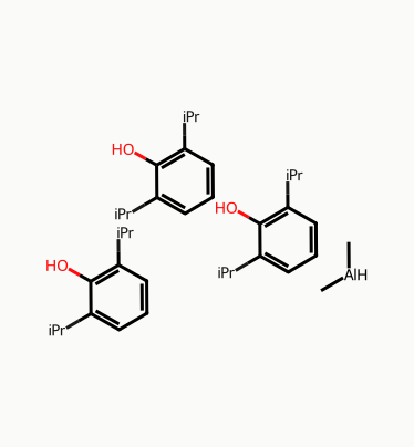 CC(C)c1cccc(C(C)C)c1O.CC(C)c1cccc(C(C)C)c1O.CC(C)c1cccc(C(C)C)c1O.[CH3][AlH][CH3]